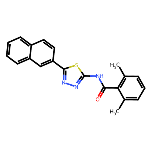 Cc1cccc(C)c1C(=O)Nc1nnc(-c2ccc3ccccc3c2)s1